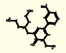 CSc1cccc(-c2cc(CN(CCO)CCO)c(=O)n(CC(C)C)n2)c1